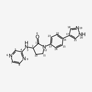 O=C1C(Nc2cnccn2)CCN1c1ccc(-c2cn[nH]c2)cc1